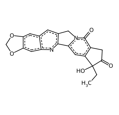 CCC1(O)C(=O)Cc2c1cc1n(c2=O)Cc2cc3cc4c(cc3nc2-1)OCO4